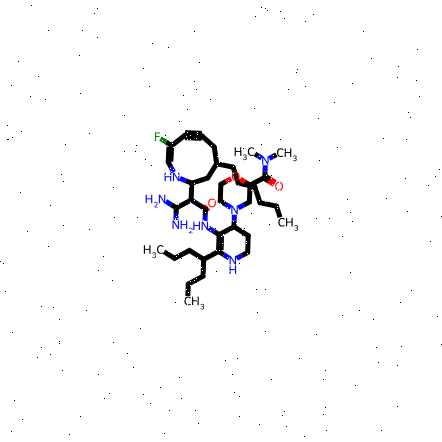 CCCCCCC1CC#C/C(F)=C\NC(C(C(=O)NC2=C(C(CCC)CCC)NCCC2N2CCOC(C(=O)N(C)C)C2)C(N)N)C1